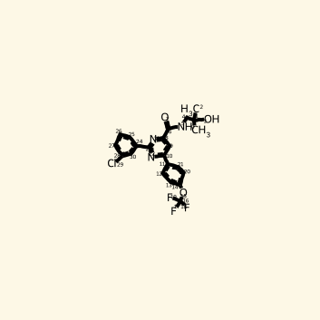 CC(C)(O)CNC(=O)c1cc(-c2ccc(OC(F)(F)F)cc2)nc(-c2cccc(Cl)c2)n1